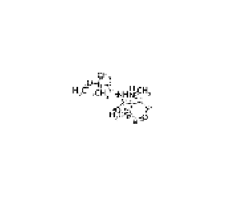 CNC1(C(=O)NCCC(C)(C)OC)CCOC[C@H]1C